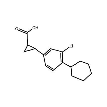 O=C(O)C1CC1c1ccc(C2CCCCC2)c(Cl)c1